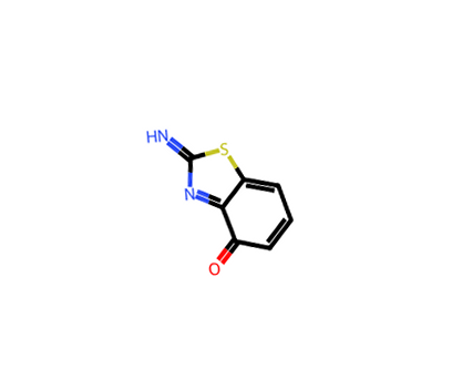 N=C1N=C2C(=O)C=CC=C2S1